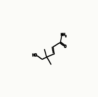 CC(C)(C=CC(N)=O)CO